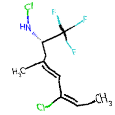 C/C=C(Cl)\C=C(/C)[C@H](NCl)C(F)(F)F